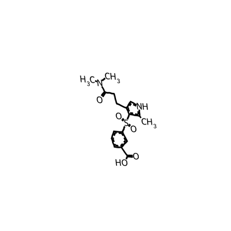 Cc1[nH]cc(CCC(=O)N(C)C)c1S(=O)(=O)c1cccc(C(=O)O)c1